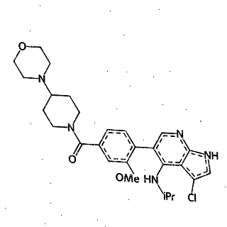 COc1cc(C(=O)N2CCC(N3CCOCC3)CC2)ccc1-c1cnc2[nH]cc(Cl)c2c1NC(C)C